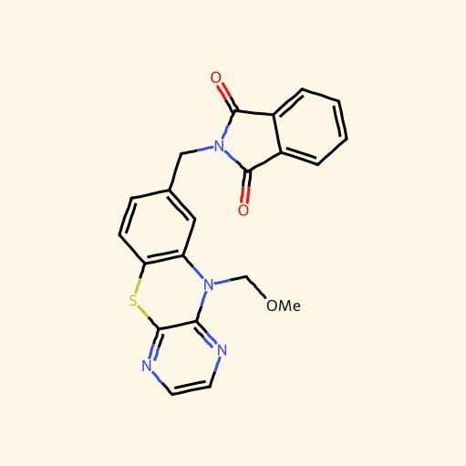 COCN1c2cc(CN3C(=O)c4ccccc4C3=O)ccc2Sc2nccnc21